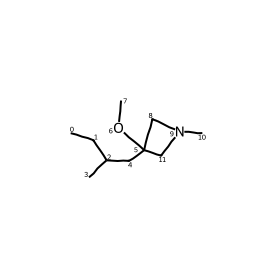 CCC(C)CC1(OC)CN(C)C1